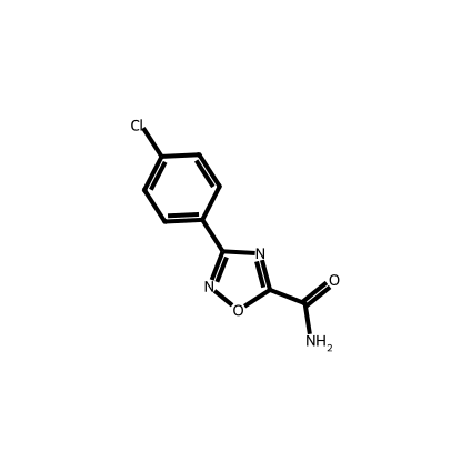 NC(=O)c1nc(-c2ccc(Cl)cc2)no1